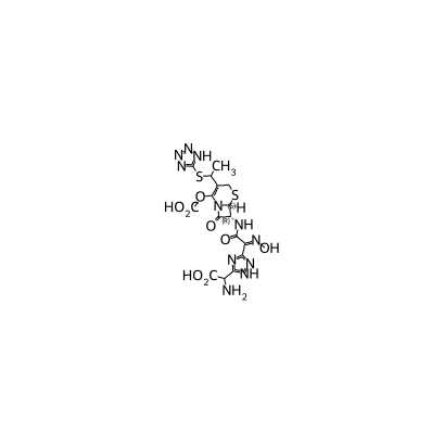 CC(Sc1nnn[nH]1)C1=C(OC(=O)O)N2C(=O)[C@@H](NC(=O)C(=NO)c3n[nH]c(C(N)C(=O)O)n3)[C@@H]2SC1